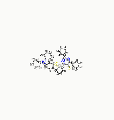 c1ccc(-c2nc(-c3cccc4c3sc3c4ccc4c3c3ccccc3n4-c3ccccc3)c3sc4ccccc4c3n2)cc1